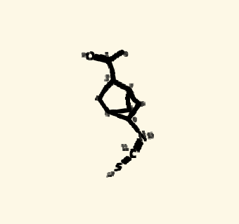 CC(=O)C1CC2CC1CC2N=C=S